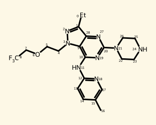 CCc1nn(CCOCC(F)(F)F)c2c(Nc3ccc(C)cn3)nc(N3CCNCC3)nc12